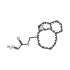 C=CC(=O)OCc1cccccc2cccc3ccc1c(C)c23